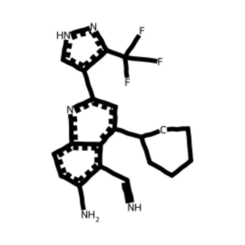 N=Cc1c(N)ccc2nc(-c3c[nH]nc3C(F)(F)F)cc(C3CCCCC3)c12